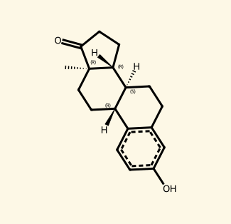 C[C@@]12CC[C@H]3c4ccc(O)cc4CC[C@@H]3[C@H]1CCC2=O